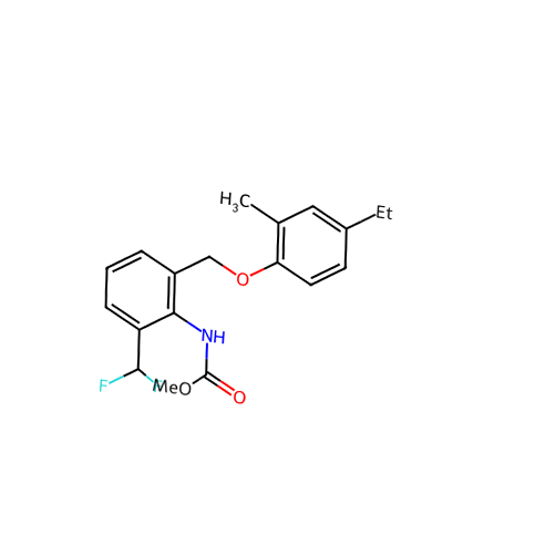 CCc1ccc(OCc2cccc(C(F)F)c2NC(=O)OC)c(C)c1